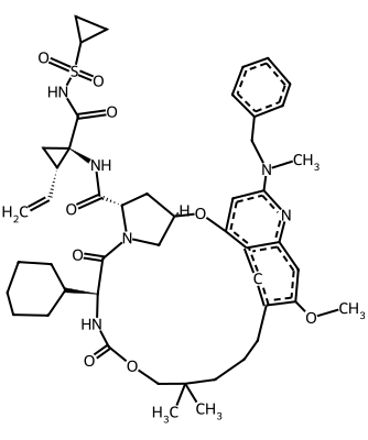 C=C[C@@H]1C[C@]1(NC(=O)[C@@H]1C[C@@H]2CN1C(=O)[C@H](C1CCCCC1)NC(=O)OCC(C)(C)CCCc1cc3c(cc(N(C)Cc4ccccc4)nc3cc1OC)O2)C(=O)NS(=O)(=O)C1CC1